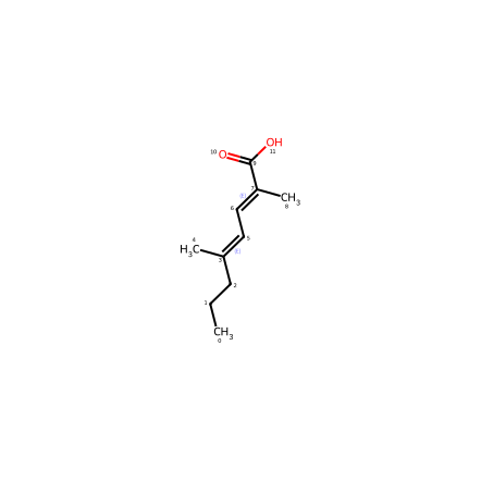 CCC/C(C)=C/C=C(\C)C(=O)O